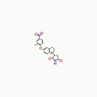 Cc1cc([N+](=O)[O-])ccc1Oc1ccc2c(c1)CC[C@H]2C1SC(=O)NC1=O